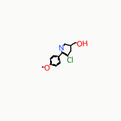 COc1ccc(C2=C(Cl)CC(CO)C=N2)cc1